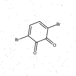 O=C1C(=O)C(Br)=CC=C1Br